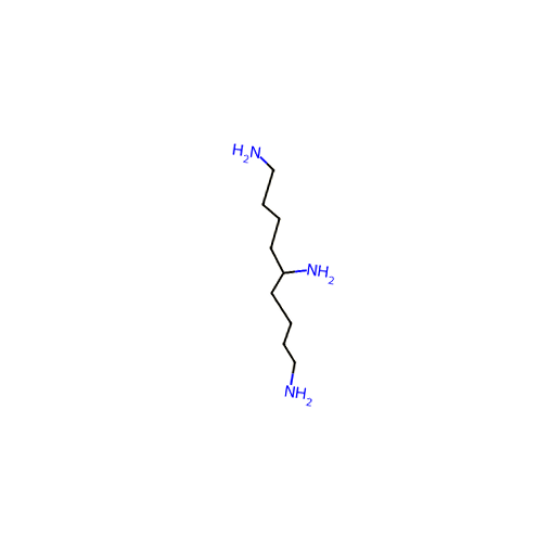 NCCCCC(N)CCCCN